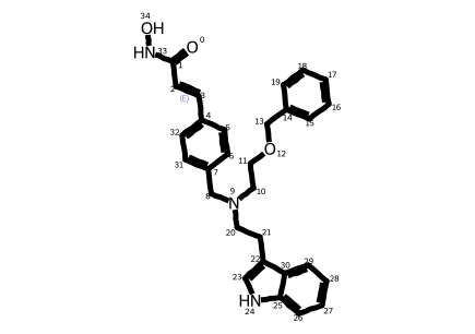 O=C(/C=C/c1ccc(CN(CCOCc2ccccc2)CCc2c[nH]c3ccccc23)cc1)NO